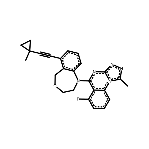 Cc1nnc2nc(N3CCOCc4c(C#CC5(C)CC5)cccc43)c3c(F)cccc3n12